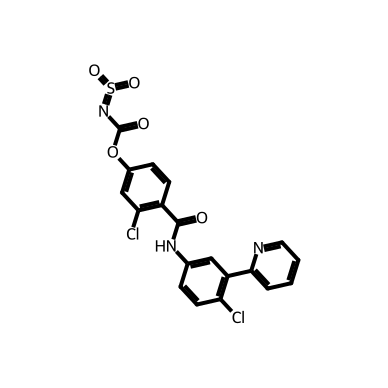 O=C(N=S(=O)=O)Oc1ccc(C(=O)Nc2ccc(Cl)c(-c3ccccn3)c2)c(Cl)c1